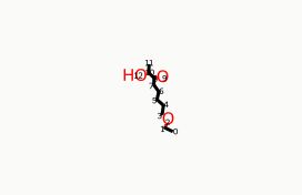 CCOCCCCCC(=O)C(C)O